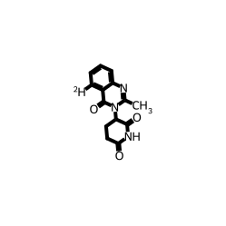 [2H]c1cccc2nc(C)n(C3CCC(=O)NC3=O)c(=O)c12